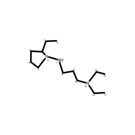 CCC1CCCN1NCCCN(CC)CC